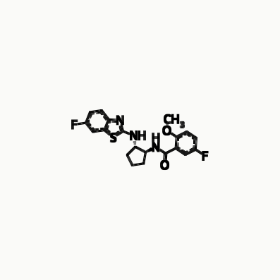 COc1ccc(F)cc1C(=O)N[C@H]1CCC[C@@H]1Nc1nc2ccc(F)cc2s1